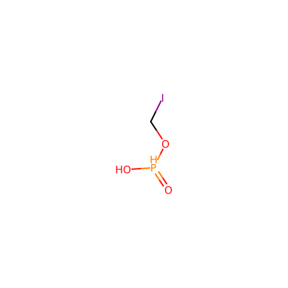 O=[PH](O)OCI